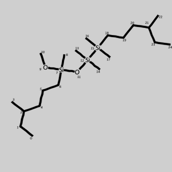 CCC(C)CCC[Si](C)(OC)O[Si](C)(C)[Si](C)(C)CCCC(C)CC